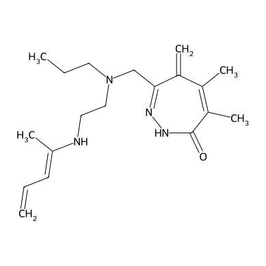 C=C/C=C(\C)NCCN(CCC)CC1=NNC(=O)C(C)=C(C)C1=C